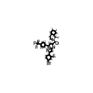 C[C@@H]1c2ccccc2CCN1C(=O)c1cc(-c2ccc(C(F)(F)F)cc2)n2nc(-c3ccc(Br)cc3F)cc2n1